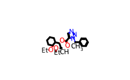 C#CC(OC(=O)c1cnnn1[C@H](C)c1ccccc1)C1CCCCC1(OCC)OCC